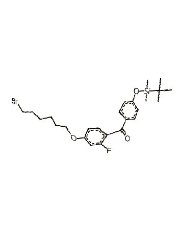 CC(C)(C)[Si](C)(C)Oc1ccc(C(=O)c2ccc(OCCCCCCBr)cc2F)cc1